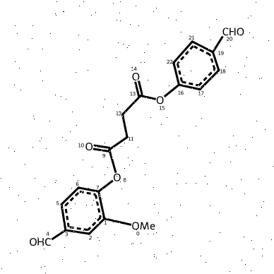 COc1cc(C=O)ccc1OC(=O)CCC(=O)Oc1ccc(C=O)cc1